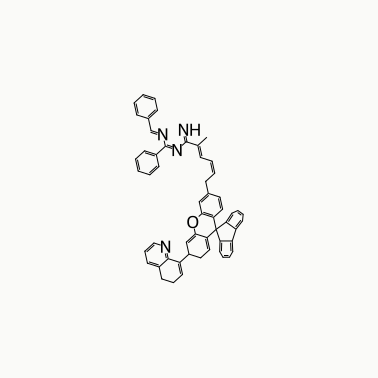 C/C(=C\C=C/Cc1ccc2c(c1)OC1=CC(C3=CCCc4cccnc43)CC=C1C21c2ccccc2-c2ccccc21)C(=N)/N=C(\N=C\c1ccccc1)c1ccccc1